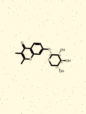 Cc1oc2cc(O[C@H]3SC[C@@H](O)[C@H](O)[C@H]3O)ccc2c(=O)c1C